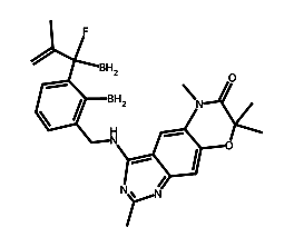 Bc1c(CNc2nc(C)nc3cc4c(cc23)N(C)C(=O)C(C)(C)O4)cccc1C(B)(F)C(=C)C